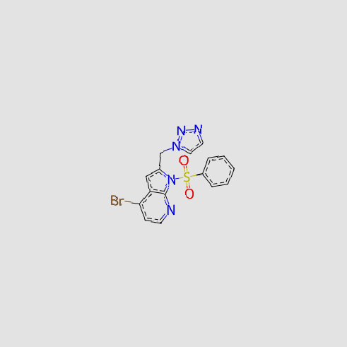 O=S(=O)(c1ccccc1)n1c(Cn2ccnn2)cc2c(Br)ccnc21